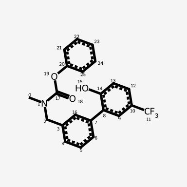 CN(Cc1cccc(-c2cc(C(F)(F)F)ccc2O)c1)C(=O)Oc1ccccc1